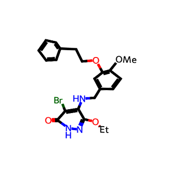 CCOc1n[nH]c(=O)c(Br)c1NCc1ccc(OC)c(OCCc2ccccc2)c1